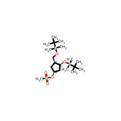 CC(C)(C)[Si](C)(C)OC[C@@H]1C[C@H](OS(C)(=O)=O)C[C@@H]1O[Si](C)(C)C(C)(C)C